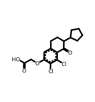 O=C(O)COc1cc2c(c(Cl)c1Cl)C(=O)C(C1CCCC1)CC2